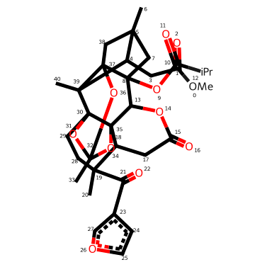 COC(=O)CC1C2(C)CC3(OC(=O)C(C)C)C4OC(=O)CC5C(C)(C(=O)c6ccoc6)CCC67OC(C)(OC546)OC3(C2)C17C